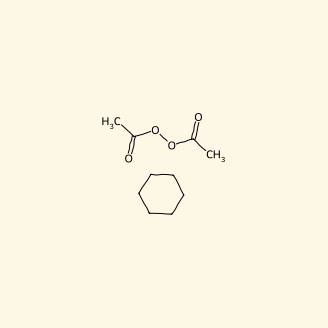 C1CCCCC1.CC(=O)OOC(C)=O